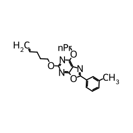 C=CCCCOc1nc(OCCC)c2nc(-c3cccc(C)c3)oc2n1